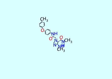 CNC(=O)c1c(NC)ncn1CC(=O)Nc1ccc(Oc2ccc(C)cc2)cc1